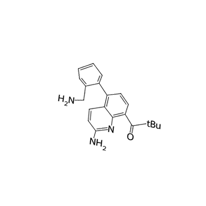 CC(C)(C)C(=O)c1ccc(-c2ccccc2CN)c2ccc(N)nc12